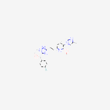 COc1nc(/C=C/c2nc3n(n2)CCOC3c2ccc(F)cc2)ccc1-n1cnc(C)c1